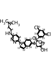 CN(C)CCNc1ccc(-n2ccc3cc(N(CC(=O)O)S(=O)(=O)c4cc(Cl)cc(Cl)c4)ccc32)nn1